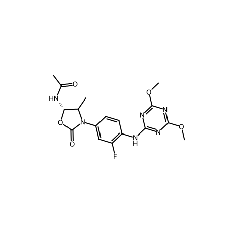 COc1nc(Nc2ccc(N3C(=O)O[C@H](NC(C)=O)C3C)cc2F)nc(OC)n1